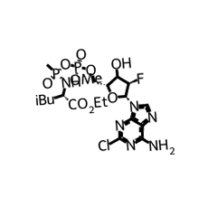 CCOC(=O)[C@@H](NP(C)(=O)OP(=O)(OC)OC[C@H]1O[C@@H](n2cnc3c(N)nc(Cl)nc32)[C@H](F)C1O)C(C)CC